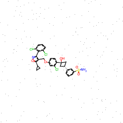 NS(=O)(=O)c1cccc([C@H]2C[C@@](O)(c3ccc(OCc4c(-c5c(Cl)cccc5Cl)noc4C4CC4)cc3Cl)C2)c1